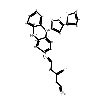 C=CCC(=O)CC=C.c1ccc2c(c1)Nc1ccccc1O2.c1cnoc1.c1cnoc1